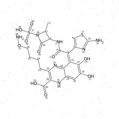 CC1C(NC(=O)C(c2csc(N)n2)=c2c(O)c(O)cc3c2=NC(CCCCON)=C(C(=O)O)N3)C(=O)N1S(=O)(=O)O